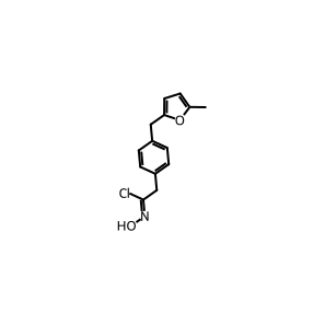 Cc1ccc(Cc2ccc(C/C(Cl)=N/O)cc2)o1